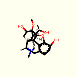 CO[C@]12C(O)C[C@@]3(C[C@@H]1[C@@H](C)O)[C@H]1Cc4ccc(O)c5c4[C@@]3(CCN1C)[C@H]2O5